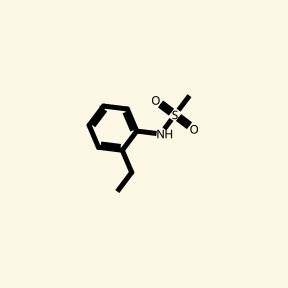 CCc1cc[c]cc1NS(C)(=O)=O